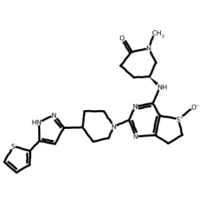 CN1C[C@@H](Nc2nc(N3CCC(c4cc(-c5cccs5)[nH]n4)CC3)nc3c2[S+]([O-])CC3)CCC1=O